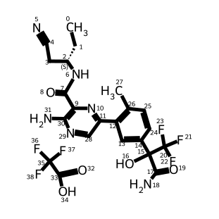 CC[C@@H](CC#N)NC(=O)c1nc(-c2cc(C(O)(C(N)=O)C(F)(F)F)ccc2C)cnc1N.O=C(O)C(F)(F)F